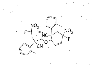 Cc1ccccc1C1(C#N)CC(F)([N+](=O)[O-])C=CC1OC1C=CC(F)([N+](=O)[O-])CC1(C#N)c1ccccc1C